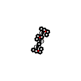 O=P(c1ccc(P(=O)(c2cccc3ccccc23)c2cccc3ccccc23)cc1)(c1ccc(P(=O)(c2cccc3ccccc23)c2cccc3ccccc23)cc1)c1cccc2ccccc12